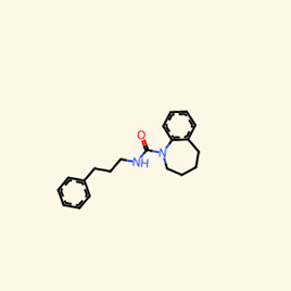 O=C(NCCCc1ccccc1)N1CCCCc2ccccc21